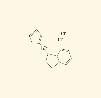 C1=CC[C]([Ti+2][CH]2CCC3C=CC=CC32)=C1.[Cl-].[Cl-]